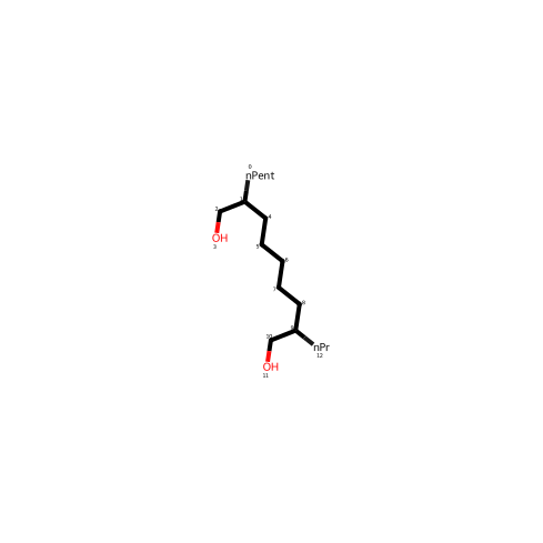 CCCCCC(CO)CCCCCC(CO)CCC